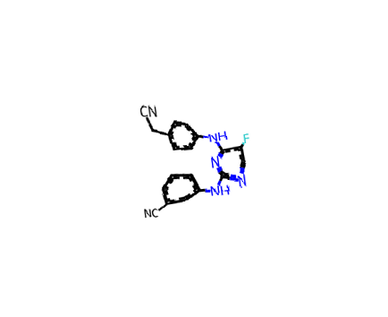 N#CCc1ccc(Nc2nc(Nc3cccc(C#N)c3)ncc2F)cc1